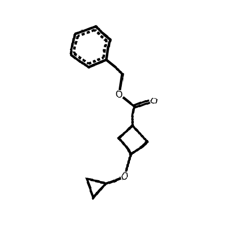 O=C(OCc1ccccc1)C1CC(OC2CC2)C1